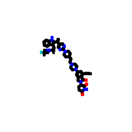 C=C(c1cnc(N2CCC(CCN3CCN(c4cc5c(c(OC)c4)C(=O)N(C4CCC(=O)NC4=O)C5)CC3)CC2)nc1)c1[nH]c2ccccc2c1C[C@@H](C)NCC(C)(C)F